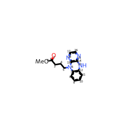 COC(=O)CCCN1c2ccccc2Nc2nccnc21